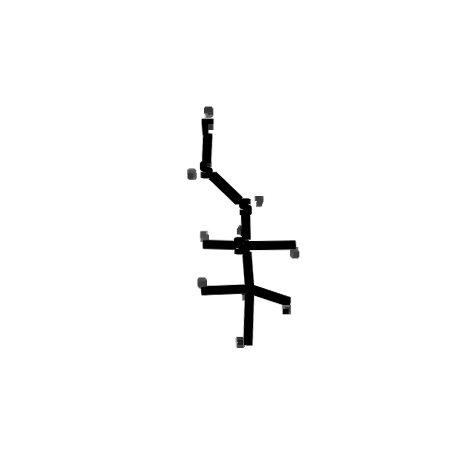 CC(C)(C)[Si](C)(C)SSF